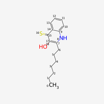 CCCCCCCc1[nH]c2ccccc2c(=S)c1O